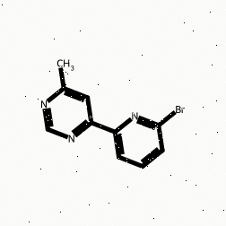 Cc1cc(-c2cccc(Br)n2)ncn1